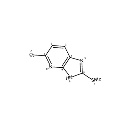 CCc1ccc2nc(SC)[nH]c2n1